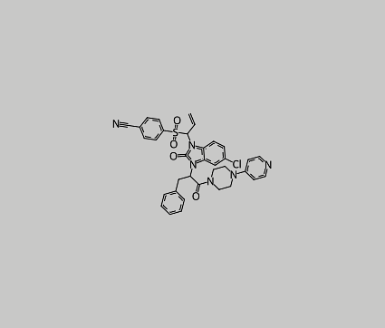 C=CC(n1c(=O)n(C(Cc2ccccc2)C(=O)N2CCN(c3ccncc3)CC2)c2cc(Cl)ccc21)S(=O)(=O)c1ccc(C#N)cc1